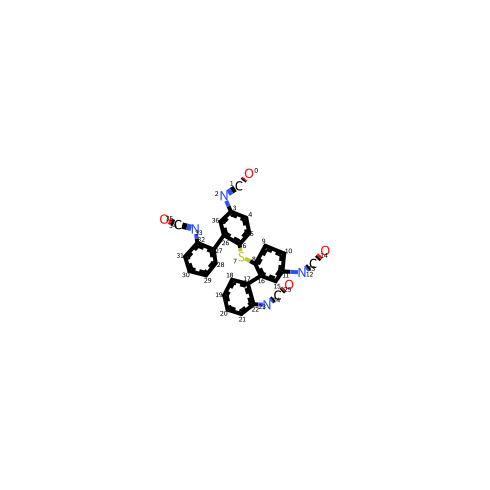 O=C=Nc1ccc(Sc2ccc(N=C=O)cc2-c2ccccc2N=C=O)c(-c2ccccc2N=C=O)c1